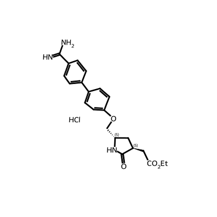 CCOC(=O)C[C@@H]1C[C@@H](COc2ccc(-c3ccc(C(=N)N)cc3)cc2)NC1=O.Cl